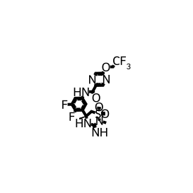 CN1C(=N)N[C@](C)(c2cc(NC(=O)c3cnc(OCC(F)(F)F)cn3)cc(F)c2F)CS1(=O)=O